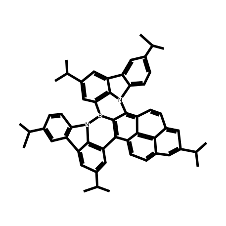 CC(C)c1cc2ccc3c4c5c(c6ccc(c1)c2c36)-n1c2ccc(C(C)C)cc2c2cc(C(C)C)cc(c21)B5n1c2ccc(C(C)C)cc2c2cc(C(C)C)cc-4c21